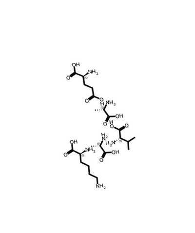 CC(C)[C@H](N)C(=O)O.C[C@H](N)C(=O)O.C[C@H](N)C(=O)O.NCCCC[C@H](N)C(=O)O.N[C@@H](CCC(=O)O)C(=O)O